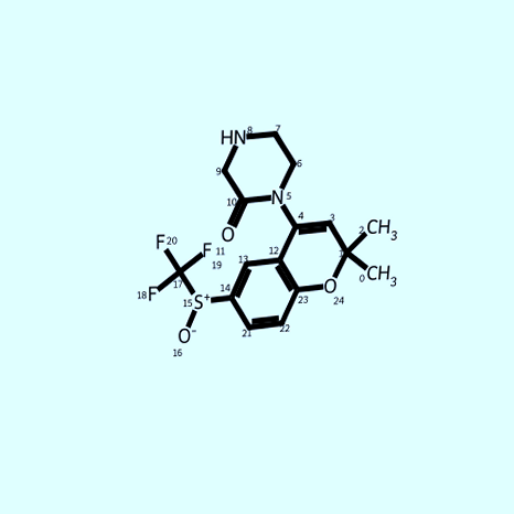 CC1(C)C=C(N2CCNCC2=O)c2cc([S+]([O-])C(F)(F)F)ccc2O1